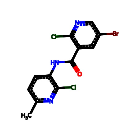 Cc1ccc(NC(=O)c2cc(Br)cnc2Cl)c(Cl)n1